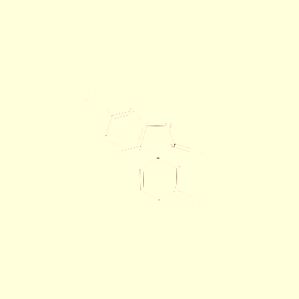 Cc1ccc2c(n1)NC(=O)C21C=CCN(C(=O)O)C1